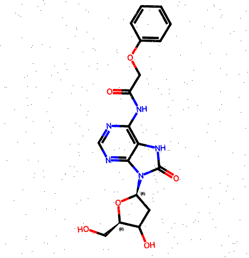 O=C(COc1ccccc1)Nc1ncnc2c1[nH]c(=O)n2[C@H]1CC(O)[C@@H](CO)O1